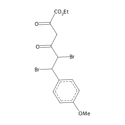 CCOC(=O)C(=O)CC(=O)C(Br)C(Br)c1ccc(OC)cc1